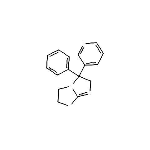 c1ccc(C2(c3cccnc3)CN=C3SCCN32)cc1